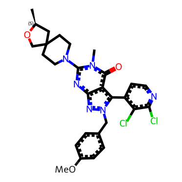 COc1ccc(Cn2nc3nc(N4CCC5(CC4)CO[C@@H](C)C5)n(C)c(=O)c3c2-c2ccnc(Cl)c2Cl)cc1